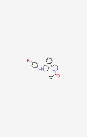 O=C(C1CC1)N1CCCC(c2ccccc2)(C2CCN(Cc3ccc(Br)cc3)CC2)C1